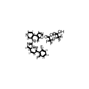 Cc1oncc1-c1ccncc1Nc1ncc2ccc(-c3c(F)cccc3F)nn12.O=C(O)C(F)(F)F.O=C(O)C(F)(F)F